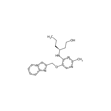 CCC[C@@H](CCO)Nc1nc(C)ncc1OCc1cn2ccccc2n1